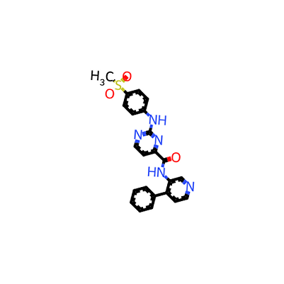 CS(=O)(=O)c1ccc(Nc2nccc(C(=O)Nc3cnccc3-c3ccccc3)n2)cc1